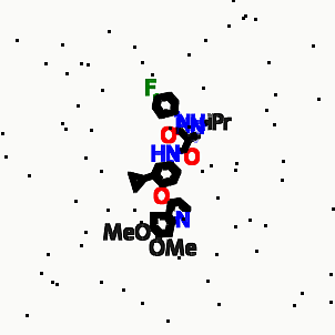 COc1cc2nccc(Oc3ccc(NC(=O)/C(=C/NC(C)C)C(=O)Nc4ccc(F)cc4)cc3C3CC3)c2cc1OC